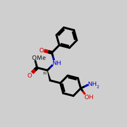 COC(=O)[C@H](CC1=CCC(N)(O)C=C1)NC(=O)c1ccccc1